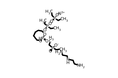 CCP(=O)([O-])CC.CCP(=O)([O-])CC.CCP(=O)([O-])CC.NCCNCCN.O=[PH]1OCCCCCO1.[Al+3]